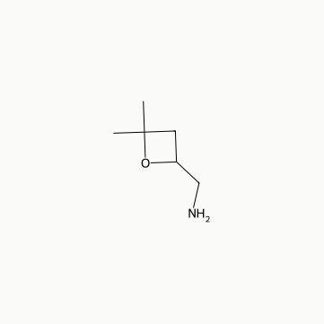 CC1(C)CC(CN)O1